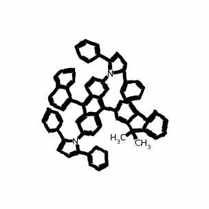 CC1(C)c2ccccc2-c2ccc(-c3c4cc(N5C(c6ccccc6)=CCC5c5ccccc5)ccc4c(-c4cccc5ccccc45)c4cc(-n5c(C6=CC=CCC6)ccc5C5C=CC=CC5)ccc34)cc21